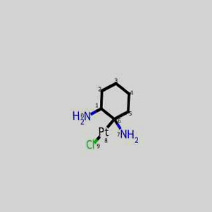 NC1CCCC[C]1(N)[Pt][Cl]